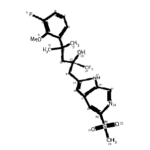 COc1c(F)cccc1C(C)(C)C[C@](O)(Cc1cc2cc(S(C)(=O)=O)ncc2[nH]1)C(F)(F)F